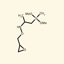 CO[Si](C)(CC(C)NOCC1CO1)OC